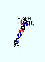 Cc1ccc(CCN2CCN(C(=O)Oc3ccc(C(=O)NC(C)(C)CC(C)(C)C)cc3)CC2)nc1